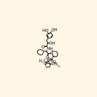 CC1(C)C2CCC1(C)C(OC(=O)[C@@H]1CCCCN1C(=O)[C@@H](NC(=O)[C@H](O)Cc1ccc(O)c(O)c1)C1CCCCC1)C2